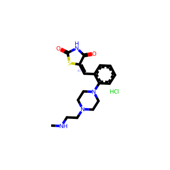 CNCCN1CCN(c2ccccc2/C=C2/SC(=O)NC2=O)CC1.Cl